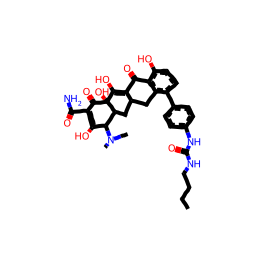 CCCCNC(=O)Nc1ccc(-c2ccc(O)c3c2CC2CC4C(N(C)C)C(O)=C(C(N)=O)C(=O)C4(O)C(O)=C2C3=O)cc1